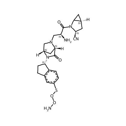 N#C[C@@H]1C[C@@H]2CC2N1C(=O)[C@@H](N)CN1C[C@@H]2C[C@H]1C(=O)N2[C@H]1CCc2cc(SOON)ccc21